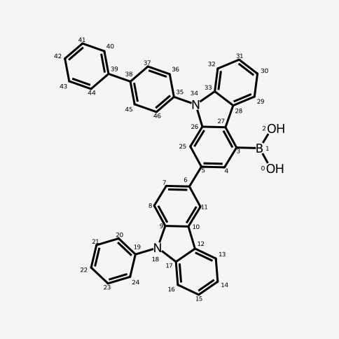 OB(O)c1cc(-c2ccc3c(c2)c2ccccc2n3-c2ccccc2)cc2c1c1ccccc1n2-c1ccc(-c2ccccc2)cc1